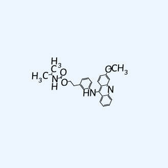 COc1ccc2c(Nc3cccc(CCOC(=O)NC(C)C)c3)c3ccccc3nc2c1